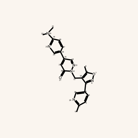 Cc1ccc(-c2noc(C)c2Cn2ncc(-c3ccc(N(C)C)nc3)cc2=O)cn1